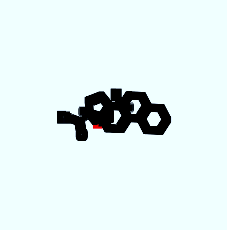 CCC(=O)[C@@]12C=CC3(CC1)[C@@H]1CCC4=C(CCCC4)C1=CC[C@@]32C